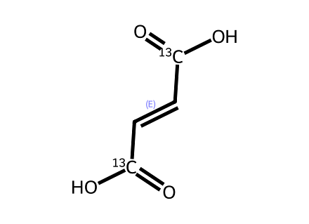 O=[13C](O)/C=C/[13C](=O)O